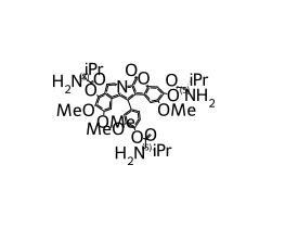 COc1cc(-c2c3c4cc(OC)c(OC(=O)[C@@H](N)C(C)C)cc4oc(=O)c3n3ccc4c(OC(=O)[C@@H](N)C(C)C)c(OC)c(OC)cc4c23)ccc1OC(=O)[C@@H](N)C(C)C